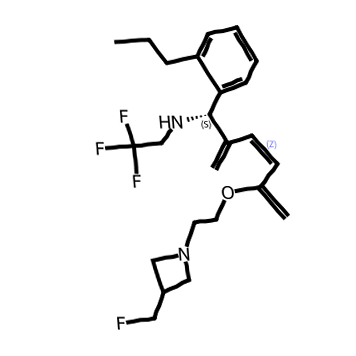 C=C(/C=C\C(=C)[C@H](NCC(F)(F)F)c1ccccc1CCC)OCCN1CC(CF)C1